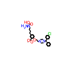 COC(=O)c1cc(CCCCN(N)C(=O)O)ccc1OCCN1CCN([C@H](c2ccccc2)c2ccc(Cl)cc2)CC1